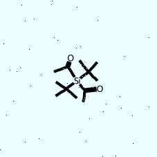 CC(=O)[Si](C(C)=O)(C(C)(C)C)C(C)(C)C